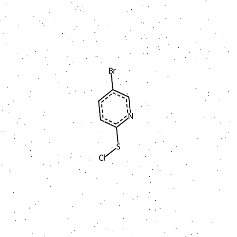 ClSc1ccc(Br)cn1